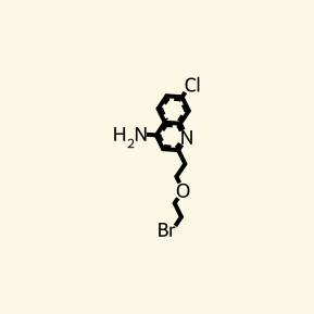 Nc1cc(CCOCCBr)nc2cc(Cl)ccc12